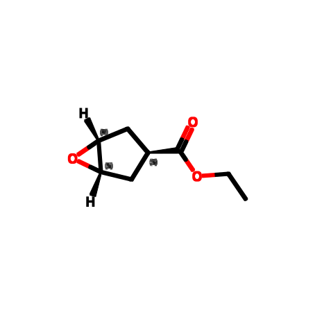 CCOC(=O)[C@H]1C[C@@H]2O[C@@H]2C1